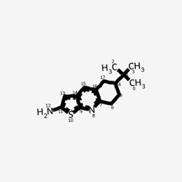 CC(C)(C)C1CCc2nc3sc(N)cc3cc2C1